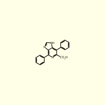 O=C(O)c1nc(-c2ccccc2)c2nc[nH]c2c1-c1ccccc1